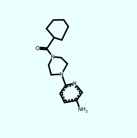 Nc1ccc(N2CCN(C(=O)C3CCCCC3)CC2)nc1